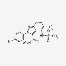 CNC(=O)c1c2c(NS(C)(=O)=O)c(C3CC3)ccc2nn1-c1ccc(Br)cc1